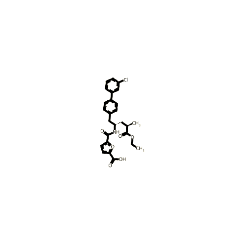 CCOC(=O)[C@H](C)C[C@@H](Cc1ccc(-c2cccc(Cl)c2)cc1)NC(=O)c1ccc(C(=O)O)o1